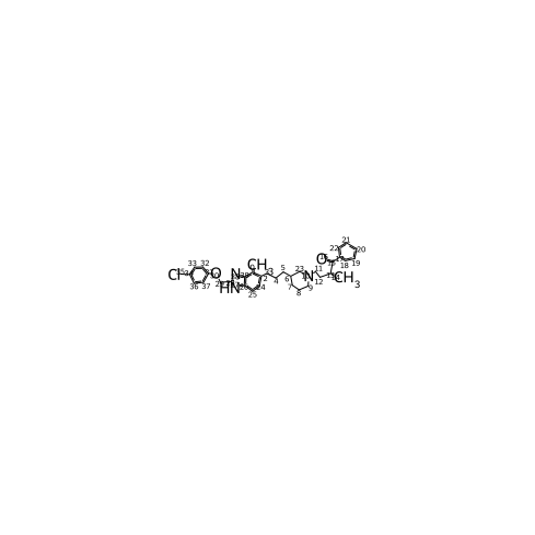 Cc1c(CCCC2CCCN(CCC(C)C(=O)c3ccccc3)C2)ccc2[nH]c(COc3ccc(Cl)cc3)nc12